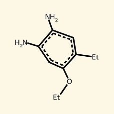 CCOc1cc(N)c(N)cc1CC